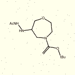 C=C(OC(C)(C)C)N1CCOCC(NNC(C)=O)C1